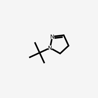 CC(C)(C)N1CCC=N1